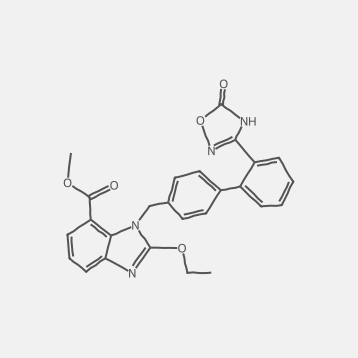 CCOc1nc2cccc(C(=O)OC)c2n1Cc1ccc(-c2ccccc2-c2noc(=O)[nH]2)cc1